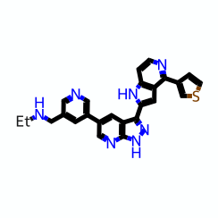 CCNCc1cncc(-c2cnc3[nH]nc(-c4cc5c(-c6ccsc6)nccc5[nH]4)c3c2)c1